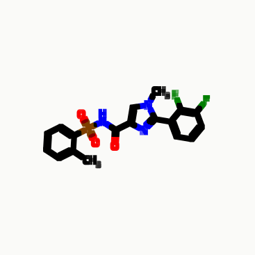 Cc1ccccc1S(=O)(=O)NC(=O)c1cn(C)c(-c2cccc(F)c2F)n1